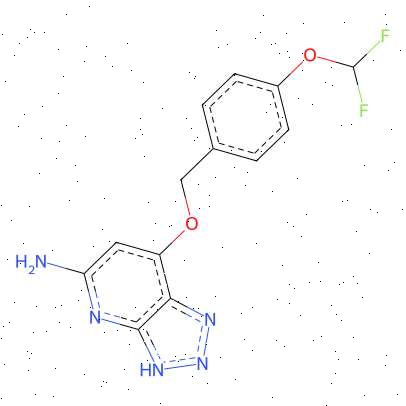 Nc1cc(OCc2ccc(OC(F)F)cc2)c2nn[nH]c2n1